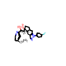 COc1ccnc(C(O)C[C@]2(O)CCC3=Cc4c(cnn4-c4ccc(F)cc4)C[C@@]32C)c1